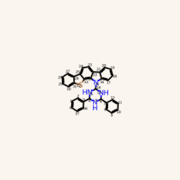 c1ccc(C2NC(c3ccccc3)NC(n3c4ccccc4c4ccc5c6ccccc6sc5c43)N2)cc1